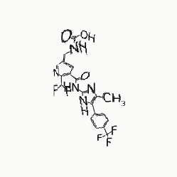 Cc1nc(NC(=O)c2cc(CNC(=O)O)cnc2C(F)F)[nH]c1-c1ccc(C(F)(F)F)cc1